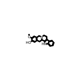 COc1cc2c(cc1O)CC1c3[nH]c4ccccc4c3CCN1C2